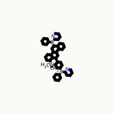 C[Si]1(C)c2cc(B(c3ccccc3)c3ccccn3)ccc2-c2cc3c4ccccc4c(B(c4ccccc4)c4ccccn4)cc3c3cccc1c23